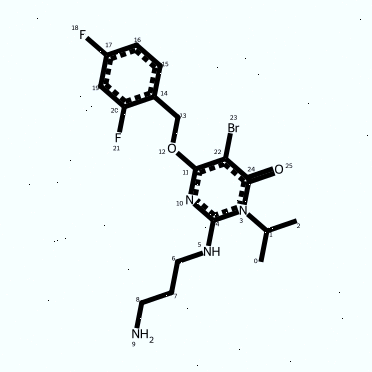 CC(C)n1c(NCCCN)nc(OCc2ccc(F)cc2F)c(Br)c1=O